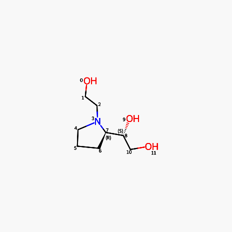 OCCN1CCC[C@@H]1[C@H](O)CO